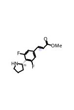 COC(=O)/C=C/c1cc(F)c([C@@H]2CCCN2)c(F)c1